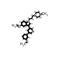 COc1cccc(-c2cncc(-c3cn(CCCN4CCN(C)CC4)c4ccc(OC)cc34)c2)c1